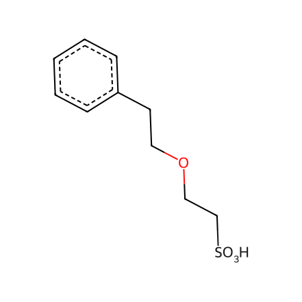 O=S(=O)(O)CCOCCc1ccccc1